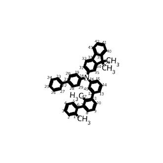 Cc1ccccc1-c1cccc(-c2cccc(N(c3ccc(-c4ccccc4)cc3)c3ccc4c(c3)C(C)(C)c3ccccc3-4)c2)c1C